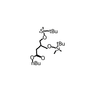 CCCCOC(=O)CC(CO[Si](C)(C)C(C)(C)C)CO[Si](C)(C)C(C)(C)C